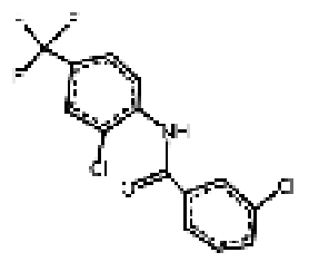 O=C(Nc1ccc(C(F)(F)F)cc1Cl)c1cccc(Cl)c1